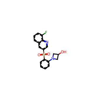 O=S(=O)(c1cnc2c(F)cccc2c1)c1ccccc1N1CC(O)C1